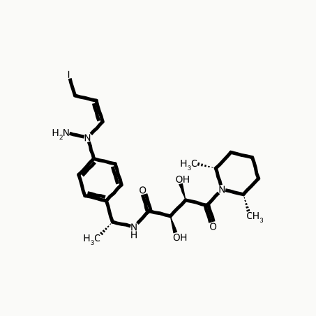 C[C@@H]1CCC[C@H](C)N1C(=O)[C@H](O)[C@@H](O)C(=O)N[C@H](C)c1ccc(N(N)/C=C\CI)cc1